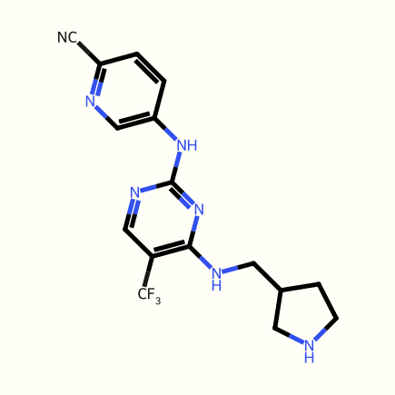 N#Cc1ccc(Nc2ncc(C(F)(F)F)c(NCC3CCNC3)n2)cn1